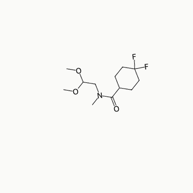 COC(CN(C)C(=O)C1CCC(F)(F)CC1)OC